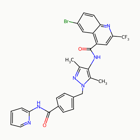 Cc1nn(Cc2ccc(C(=O)Nc3ccccn3)cc2)c(C)c1NC(=O)c1cc(C(F)(F)F)nc2ccc(Br)cc12